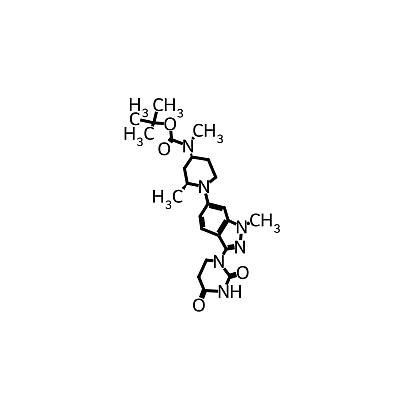 C[C@H]1C[C@H](N(C)C(=O)OC(C)(C)C)CCN1c1ccc2c(N3CCC(=O)NC3=O)nn(C)c2c1